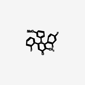 COc1cccc(-n2c(-c3ccccc3F)cc(=O)c(C)c2-c2ccc(F)cc2F)c1